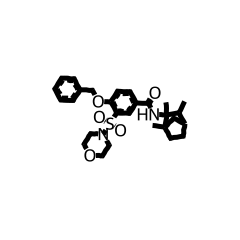 CC1C2CCC(C)(C2)C1(C)NC(=O)c1ccc(OCc2ccccc2)c(S(=O)(=O)N2CCOCC2)c1